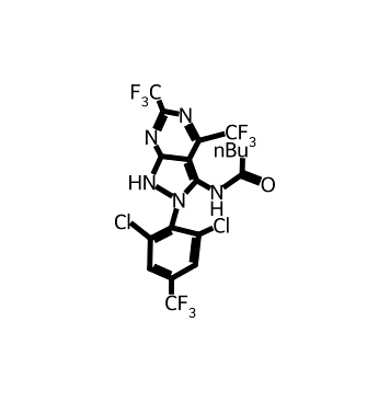 CCCCC(=O)NC1=C2C(C(F)(F)F)=NC(C(F)(F)F)=NC2NN1c1c(Cl)cc(C(F)(F)F)cc1Cl